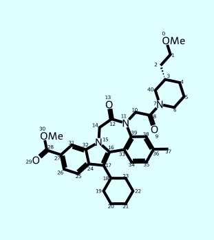 COCC[C@@H]1CCCN(C(=O)CN2C(=O)Cn3c(c(C4CCCCC4)c4ccc(C(=O)OC)cc43)-c3ccc(C)cc32)C1